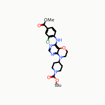 COC(=O)c1ccc(Nc2ncnc3c2OCCN3C2CCN(C(=O)OC(C)(C)C)CC2)c(Cl)c1